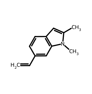 C=Cc1ccc2cc(C)n(C)c2c1